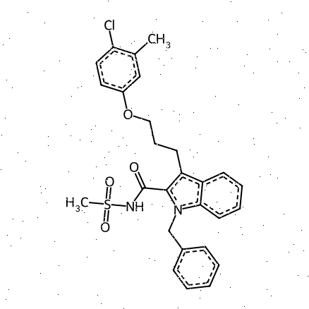 Cc1cc(OCCCc2c(C(=O)NS(C)(=O)=O)n(Cc3ccccc3)c3ccccc23)ccc1Cl